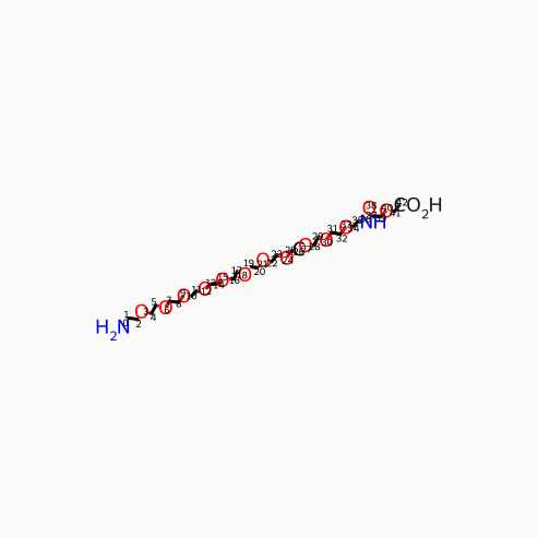 NCCOCCOCCOCCOCCOCCOCCOCCOCCOCCOCCOCCNC(=O)COCC(=O)O